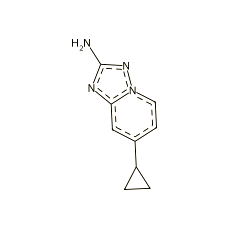 Nc1nc2cc(C3CC3)ccn2n1